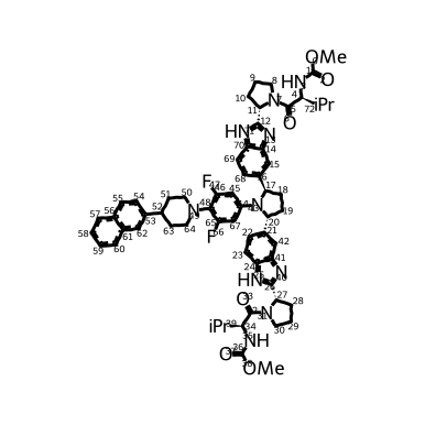 COC(=O)N[C@H](C(=O)N1CCC[C@H]1c1nc2cc([C@H]3CC[C@H](c4ccc5[nH]c([C@@H]6CCCN6C(=O)[C@@H](NC(=O)OC)C(C)C)nc5c4)N3c3cc(F)c(N4CCC(c5ccc6ccccc6c5)CC4)c(F)c3)ccc2[nH]1)C(C)C